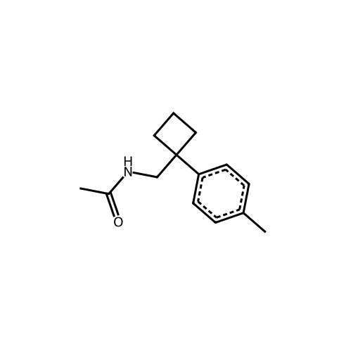 CC(=O)NCC1(c2ccc(C)cc2)CCC1